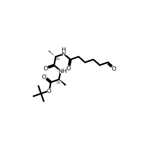 C[C@H](NC(=O)CCCCC=O)C(=O)N[C@@H](C)C(=O)OC(C)(C)C